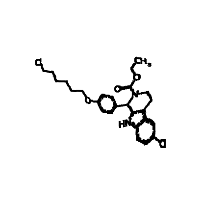 CCOC(=O)N1CCc2c([nH]c3ccc(Cl)cc23)C1c1ccc(OCCCCCCCl)cc1